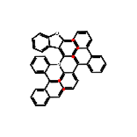 c1ccc(N(c2ccccc2-c2cc3ccccc3c3ccccc23)c2cccc3oc4ccccc4c23)c(-c2cccc3ccccc23)c1